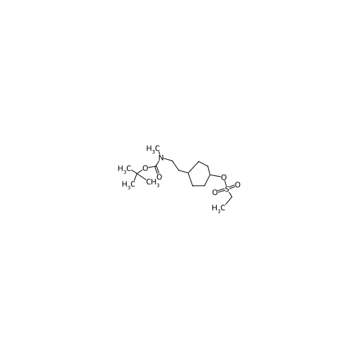 CCS(=O)(=O)OC1CCC(CCN(C)C(=O)OC(C)(C)C)CC1